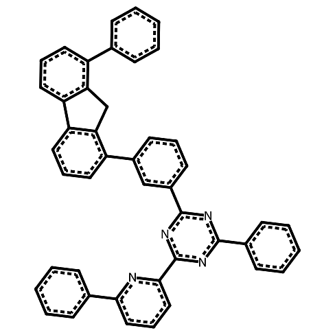 c1ccc(-c2cccc(-c3nc(-c4ccccc4)nc(-c4cccc(-c5cccc6c5Cc5c(-c7ccccc7)cccc5-6)c4)n3)n2)cc1